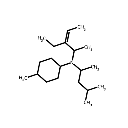 C/C=C(/CC)C(C)N(C(C)CC(C)C)C1CCC(C)CC1